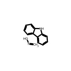 C=NO.c1ccc2c(c1)[nH]c1ccccc12